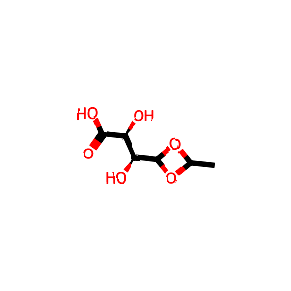 CC1OC([C@@H](O)[C@H](O)C(=O)O)O1